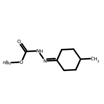 CCCCOC(=O)NN=C1CCC(C)CC1